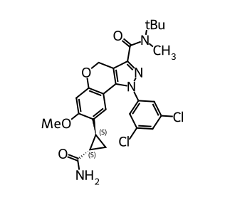 COc1cc2c(cc1[C@H]1C[C@@H]1C(N)=O)-c1c(c(C(=O)N(C)C(C)(C)C)nn1-c1cc(Cl)cc(Cl)c1)CO2